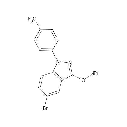 CC(C)Oc1nn(-c2ccc(C(F)(F)F)cc2)c2ccc(Br)cc12